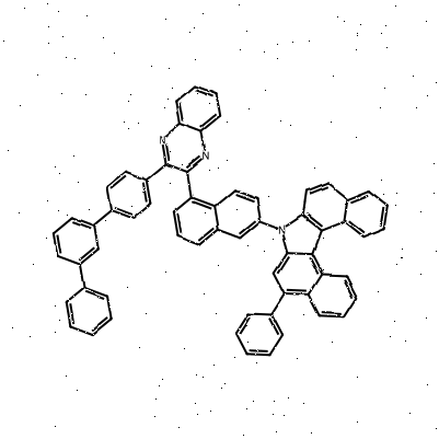 c1ccc(-c2cccc(-c3ccc(-c4nc5ccccc5nc4-c4cccc5cc(-n6c7ccc8ccccc8c7c7c8ccccc8c(-c8ccccc8)cc76)ccc45)cc3)c2)cc1